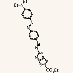 CCOC(=O)c1cc2sc(N=Nc3ccc(N=Nc4ccc(N(CC)CC)cc4)cc3)nc2s1